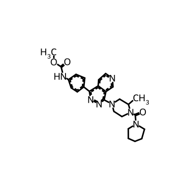 COC(=O)Nc1ccc(-c2nnc(N3CCN(C(=O)N4CCCCC4)C(C)C3)c3cnccc23)cc1